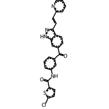 O=C(c1cccc(NC(=O)c2ccc(Cl)s2)c1)c1ccc2c(/C=C/c3ccccn3)n[nH]c2c1